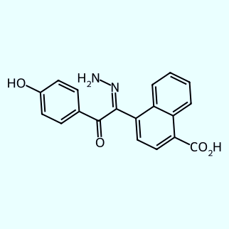 NN=C(C(=O)c1ccc(O)cc1)c1ccc(C(=O)O)c2ccccc12